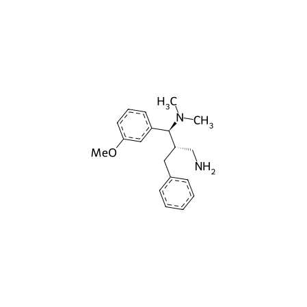 COc1cccc([C@H]([C@H](CN)Cc2ccccc2)N(C)C)c1